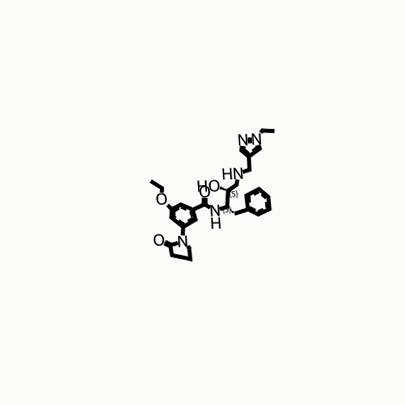 CCOc1cc(C(=O)N[C@@H](Cc2ccccc2)[C@@H](O)CNCc2cnn(CC)c2)cc(N2CCCC2=O)c1